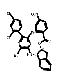 CCc1nc(-c2ccc(Cl)cc2Cl)c(CC)nc1N[C@H]1c2ccccc2C[C@H]1OC(=O)c1ccc([N+](=O)[O-])cc1